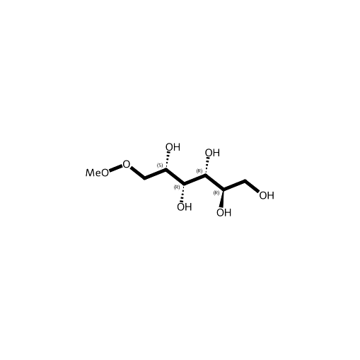 [CH2]OOC[C@H](O)[C@@H](O)[C@H](O)[C@H](O)CO